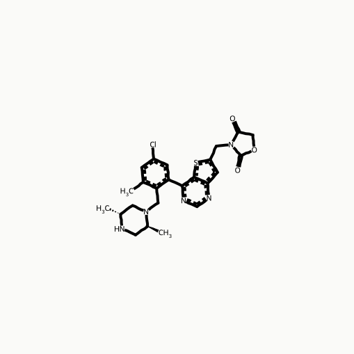 Cc1cc(Cl)cc(-c2ncnc3cc(CN4C(=O)COC4=O)sc23)c1CN1C[C@@H](C)NC[C@@H]1C